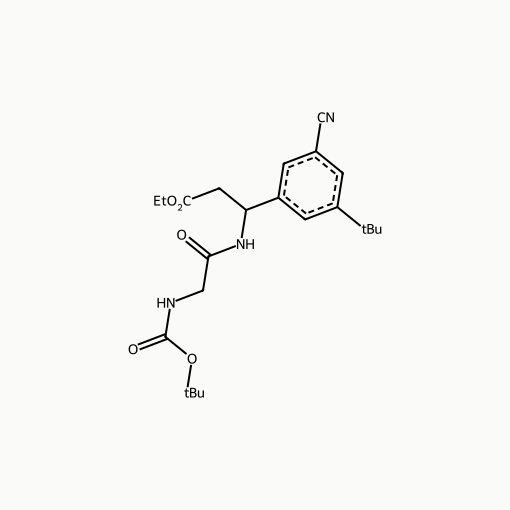 CCOC(=O)CC(NC(=O)CNC(=O)OC(C)(C)C)c1cc(C#N)cc(C(C)(C)C)c1